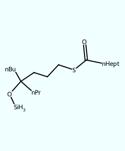 CCCCCCCC(=O)SCCCC(CCC)(CCCC)O[SiH3]